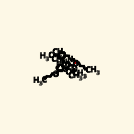 CCCCCCCN(Cc1ccc(C(C)(C)C)cc1)C(Nc1ccc(OCCCC)cc1)=C1C(=O)OC(C)(C)OC1=O